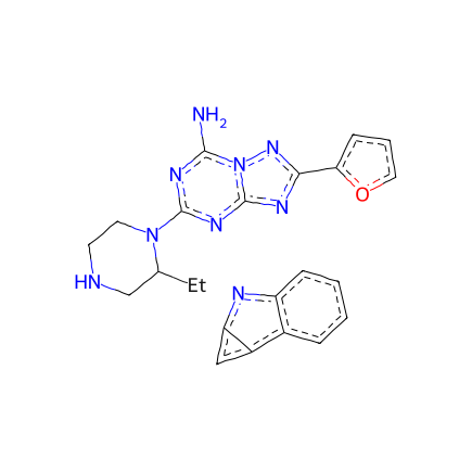 CCC1CNCCN1c1nc(N)n2nc(-c3ccco3)nc2n1.c1ccc2c3cc-3nc2c1